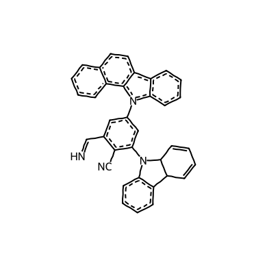 N#Cc1c(C=N)cc(-n2c3ccccc3c3ccc4ccccc4c32)cc1N1c2ccccc2C2C=CC=CC21